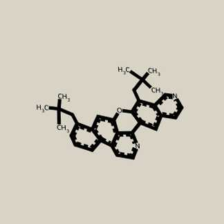 CC(C)(C)Cc1c2c(cc3ccncc13)-c1nccc3c1c(cc1c(CC(C)(C)C)cccc13)O2